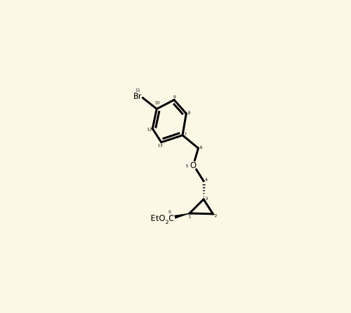 CCOC(=O)[C@@H]1C[C@H]1COCc1ccc(Br)cc1